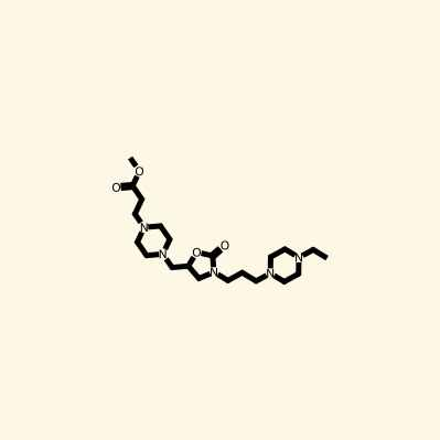 CCN1CCN(CCCN2CC(CN3CCN(CCC(=O)OC)CC3)OC2=O)CC1